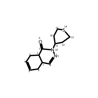 O=C1C2CC=CCC2C=NN1C1CCSCC1